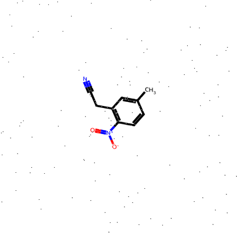 Cc1ccc([N+](=O)[O-])c(CC#N)c1